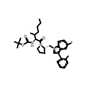 CCCCC(C)[C@H](NC(=O)OC(C)(C)C)C(=O)N1CCC[C@H]1Cn1cc(-c2ccccc2C)c2cc(F)ccc21